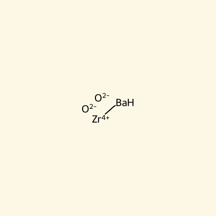 [O-2].[O-2].[Zr+4][BaH]